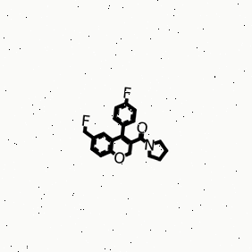 O=C(C1=C(c2ccc(F)cc2)c2cc(CF)ccc2OC1)N1CCCC1